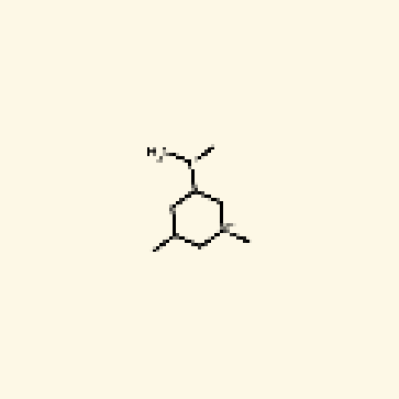 CC1CC(P(C)N)C[C@@H](C)C1